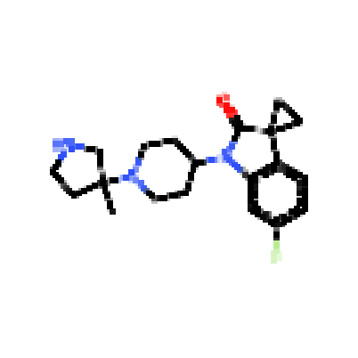 CC1(N2CCC(N3C(=O)C4(CC4)c4ccc(F)cc43)CC2)CCNC1